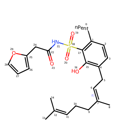 CCCCCc1ccc(C/C=C(\C)CCC=C(C)C)c(O)c1S(=O)(=O)NC(=O)Cc1ccco1